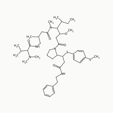 CCC(C)C(C(CC(=O)N1CCCC1C(CC(=O)NCCc1ccccc1)Sc1ccc(SC)cc1)OC)N(C)C(=O)CC(C)CNC(=O)C(C(C)C)N(C)C